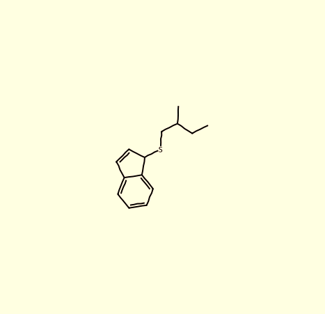 CCC(C)CSC1C=Cc2ccccc21